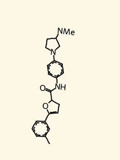 CNC1CCN(c2ccc(NC(=O)C3CC=C(c4cccc(C)c4)O3)cc2)C1